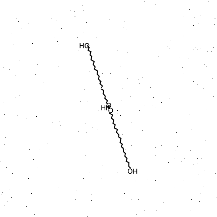 OCCCCCCCCCCCCCCCCCCCCCCCCONOCCCCCCCCCCCCCCCCCCCCCCCCO